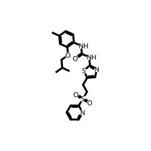 Cc1ccc(NC(=O)Nc2ncc(CCS(=O)(=O)c3ccccn3)s2)c(OCC(C)C)c1